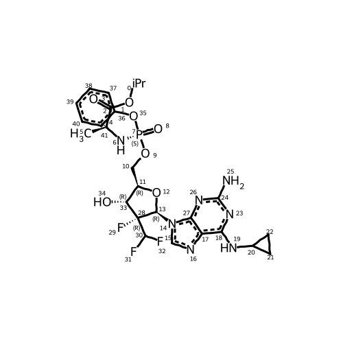 CC(C)OC(=O)[C@H](C)N[P@](=O)(OC[C@H]1O[C@@H](n2cnc3c(NC4CC4)nc(N)nc32)[C@@](F)(C(F)F)[C@@H]1O)Oc1ccccc1